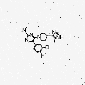 Cc1[nH]cnc1C1CCN(c2nc(N(C)C)ncc2-c2ccc(F)c(Cl)c2)CC1